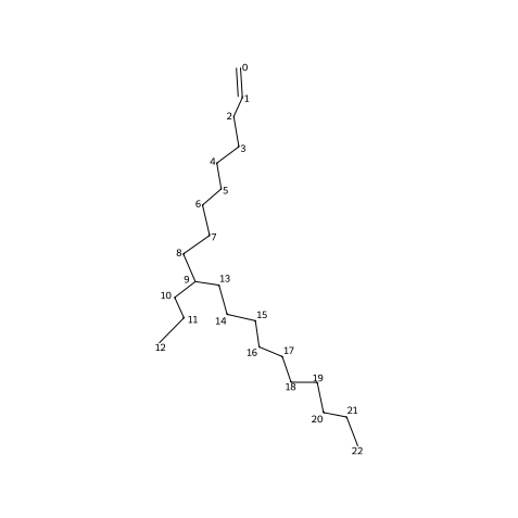 C=CCCCCCCCC(CCC)CCCCCCCCCC